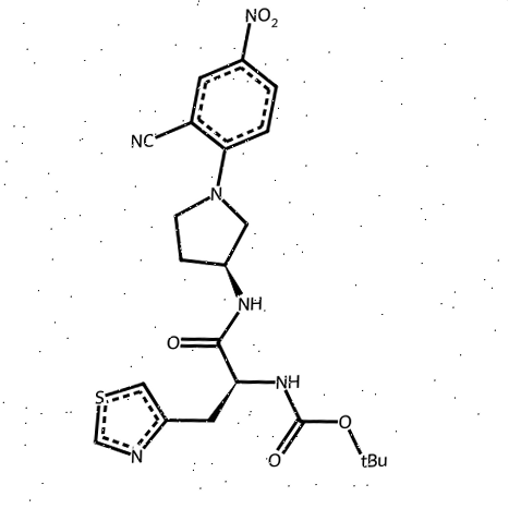 CC(C)(C)OC(=O)N[C@@H](Cc1cscn1)C(=O)N[C@H]1CCN(c2ccc([N+](=O)[O-])cc2C#N)C1